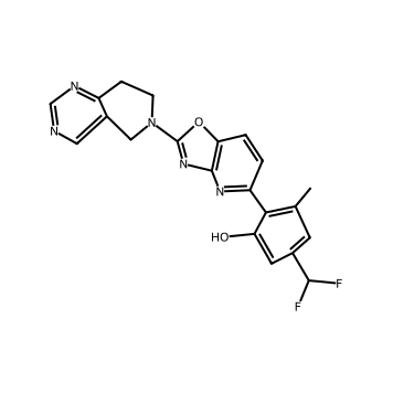 Cc1cc(C(F)F)cc(O)c1-c1ccc2oc(N3CCc4ncncc4C3)nc2n1